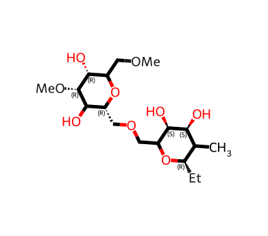 CC[C@H]1OC(COC[C@H]2OC(COC)[C@@H](O)[C@@H](OC)C2O)[C@@H](O)[C@@H](O)C1C